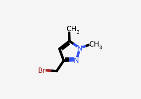 Cc1cc(CBr)nn1C